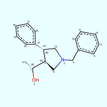 C[C@@H](O)[C@@H]1CN(Cc2ccccc2)C[C@H]1c1ccccc1